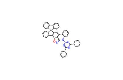 c1ccc(-c2nc(-c3ccccc3)nc(N3c4ccccc4-c4cc5c(c6onc3c46)-c3ccccc3C53c4ccccc4-c4ccccc43)n2)cc1